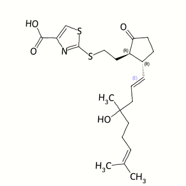 CC(C)=CCCC(C)(O)C/C=C/[C@H]1CCC(=O)[C@@H]1CCSc1nc(C(=O)O)cs1